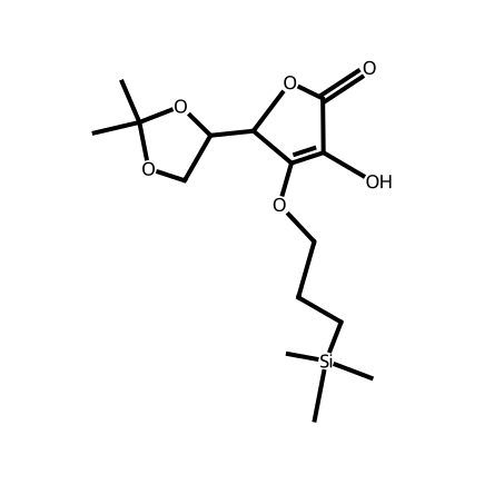 CC1(C)OCC(C2OC(=O)C(O)=C2OCCC[Si](C)(C)C)O1